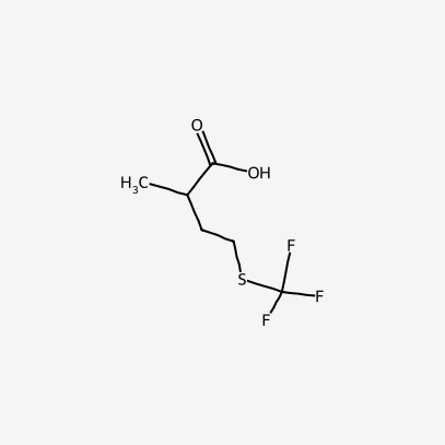 CC(CCSC(F)(F)F)C(=O)O